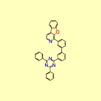 c1ccc(-c2nc(-c3ccccc3)nc(-c3cccc(-c4cccc(-c5nccc6c5oc5ccccc56)c4)c3)n2)cc1